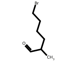 CC(C=O)CCCCBr